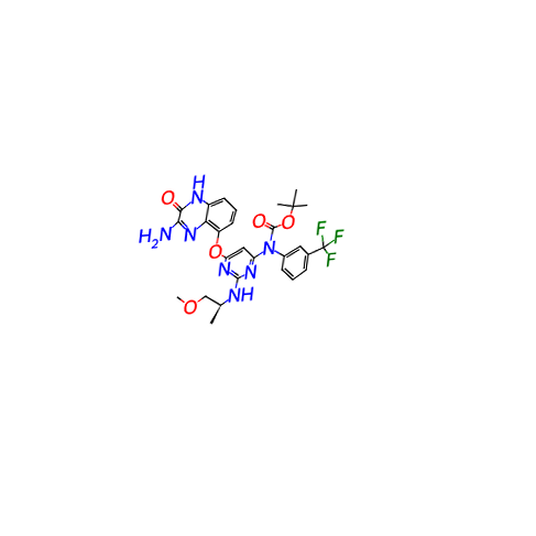 COC[C@H](C)Nc1nc(Oc2cccc3[nH]c(=O)c(N)nc23)cc(N(C(=O)OC(C)(C)C)c2cccc(C(F)(F)F)c2)n1